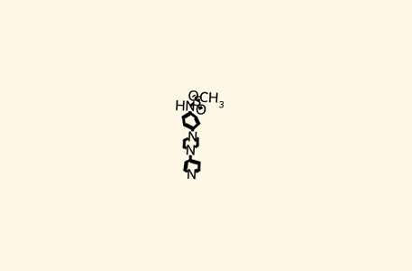 CS(=O)(=O)Nc1ccc(N2CCN(c3ccncc3)CC2)cc1